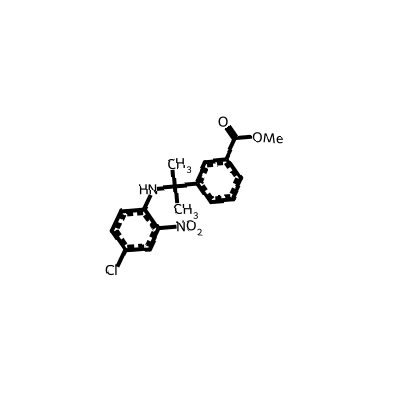 COC(=O)c1cccc(C(C)(C)Nc2ccc(Cl)cc2[N+](=O)[O-])c1